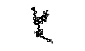 CCCCCS(=O)(=O)NC(=O)CCc1ccc(OCCOC2CC2)cc1Oc1ncc(C(F)(F)F)cc1Cl